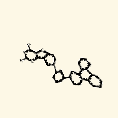 N#Cc1nc(C#N)c2oc3ccc(-c4cccc(-c5ccc6c7ccccc7c7ccccc7c6c5)c4)cc3c2n1